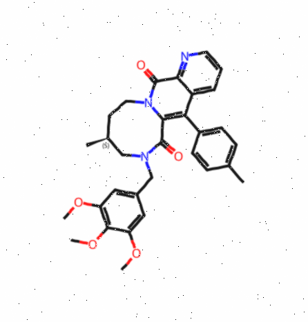 COc1cc(CN2C[C@@H](C)CCn3c(c(-c4ccc(C)cc4)c4cccnc4c3=O)C2=O)cc(OC)c1OC